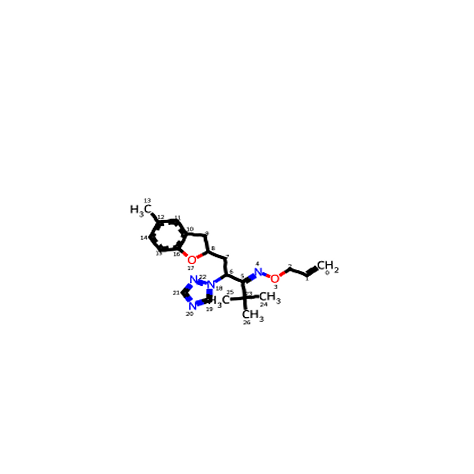 C=CCON=C(C(CC1Cc2cc(C)ccc2O1)n1cncn1)C(C)(C)C